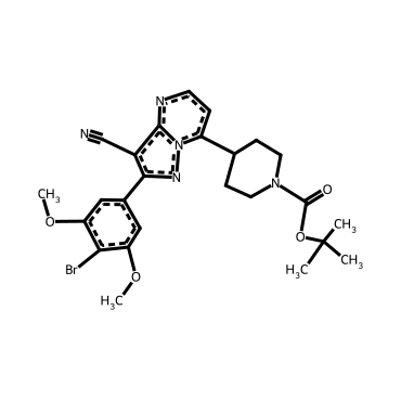 COc1cc(-c2nn3c(C4CCN(C(=O)OC(C)(C)C)CC4)ccnc3c2C#N)cc(OC)c1Br